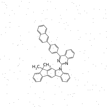 CC1(C)c2ccccc2-c2cc3c4ccccc4n(-c4nc(-c5ccc(-c6ccc7ccccc7c6)cc5)c5ccccc5n4)c3cc21